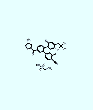 CC(C)(O)Cc1ccc(-c2ccc(C(=O)N3CC[C@H](N)C3)cc2-c2ccc(C#N)c(F)c2)c(F)c1.CCS(=O)(=O)O